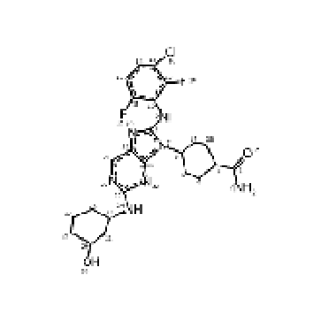 NC(=O)C1CCC(n2c(Nc3c(F)ccc(Cl)c3F)nc3cnc(N[C@@H]4CCC[C@H](O)C4)nc32)CC1